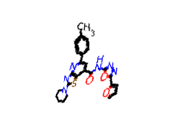 Cc1ccc(-c2cc(C(=O)Nc3nnc(-c4ccco4)o3)c3sc(N4CCCCC4)nc3n2)cc1